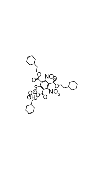 O=C(OCCC1CCCCC1)c1c(SOOO)c(C(=O)OCCC2CCCCC2)c([N+](=O)[O-])c(C(=O)OCCC2CCCCC2)c1[N+](=O)[O-]